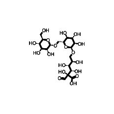 O=C[C@@](O)(C(=O)O)[C@@H](O)[C@H](O)[C@H](O)CO[C@H]1O[C@H](CO[C@H]2O[C@H](CO)[C@@H](O)[C@H](O)[C@H]2O)[C@@H](O)[C@H](O)[C@H]1O